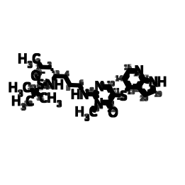 CCC[C@H](CCCNc1ncc(Sc2ccnc3[nH]ccc23)c(=O)n1C)N[S@+]([O-])C(C)(C)C